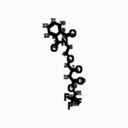 O=C(COCCN1C(=O)c2ccccc2C1=O)CC(=O)OCC(F)(F)F